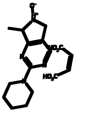 CC1c2nc(N3CCCCC3)ncc2C[NH+]1[O-].O=C(O)/C=C\C(=O)O